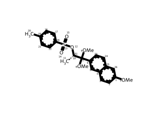 COc1ccc2cc(C(OC)(OC)[C@H](C)OS(=O)(=O)c3ccc(C)cc3)ccc2c1